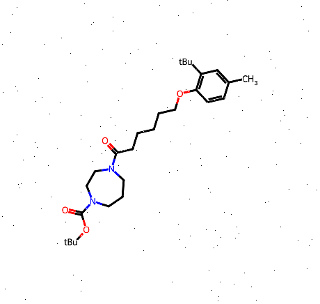 Cc1ccc(OCCCCCC(=O)N2CCCN(C(=O)OC(C)(C)C)CC2)c(C(C)(C)C)c1